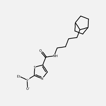 CC[S+]([O-])c1ncc(C(=O)NCCCCC2C3CCC2CC3)s1